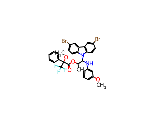 COc1cccc(NC(C(C)OC(=O)C(OC)(c2ccccc2)C(F)(F)F)n2c3ccc(Br)cc3c3cc(Br)ccc32)c1